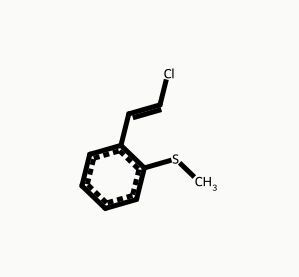 CSc1ccccc1/C=C/Cl